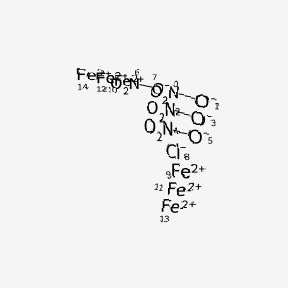 O=[N+]([O-])[O-].O=[N+]([O-])[O-].O=[N+]([O-])[O-].O=[N+]([O-])[O-].[Cl-].[Fe+2].[Fe+2].[Fe+2].[Fe+2].[Fe+2].[Fe+2]